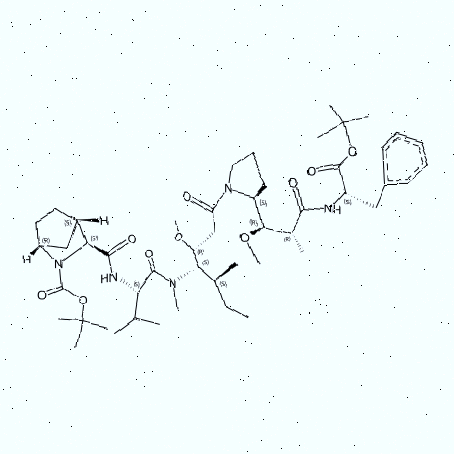 CC[C@H](C)[C@@H]([C@@H](CC(=O)N1CCC[C@H]1[C@H](OC)[C@@H](C)C(=O)N[C@@H](Cc1ccccc1)C(=O)OC(C)(C)C)OC)N(C)C(=O)[C@@H](NC(=O)[C@@H]1[C@H]2CC[C@H](C2)N1C(=O)OC(C)(C)C)C(C)C